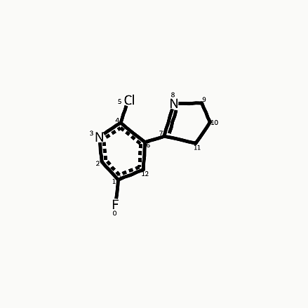 Fc1cnc(Cl)c(C2=NCCC2)c1